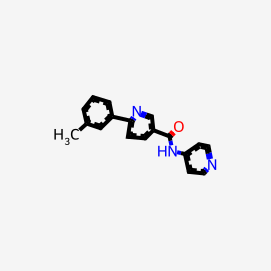 Cc1cccc(-c2ccc(C(=O)Nc3ccncc3)cn2)c1